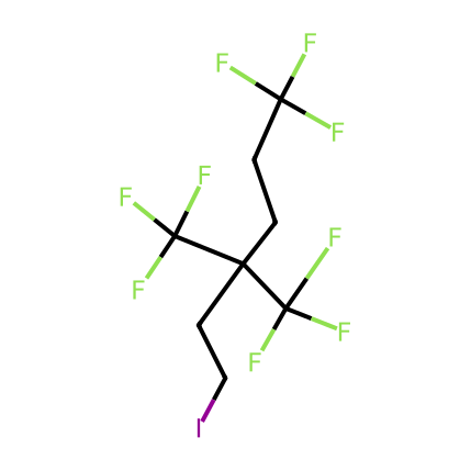 FC(F)(F)CCC(CCI)(C(F)(F)F)C(F)(F)F